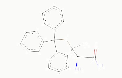 CC(C)(SC(c1ccccc1)(c1ccccc1)c1ccccc1)[C@H](N)C(N)=O